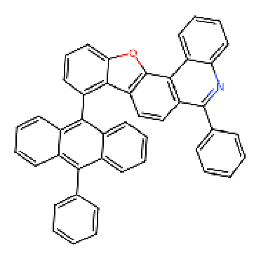 c1ccc(-c2c3ccccc3c(-c3cccc4oc5c(ccc6c(-c7ccccc7)nc7ccccc7c65)c34)c3ccccc23)cc1